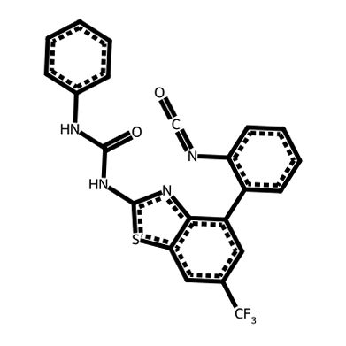 O=C=Nc1ccccc1-c1cc(C(F)(F)F)cc2sc(NC(=O)Nc3ccccc3)nc12